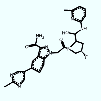 Cc1cccc(NC(O)C2C[C@@H](F)CN2C(=O)Cn2nc(C(N)=O)c3cc(-c4cnc(C)nc4)ccc32)n1